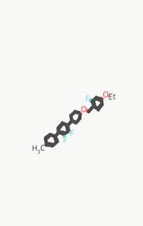 CCOc1ccc(COC2CCC(c3ccc(-c4ccc(C)cc4)c(F)c3F)CC2)c(F)c1